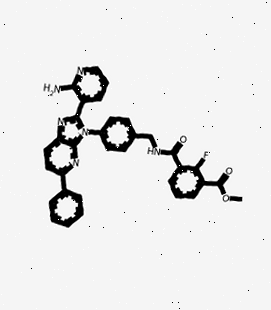 COC(=O)c1cccc(C(=O)NCc2ccc(-n3c(-c4cccnc4N)nc4ccc(-c5ccccc5)nc43)cc2)c1F